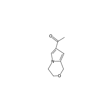 CC(=O)c1cc2n(c1)CCOC2